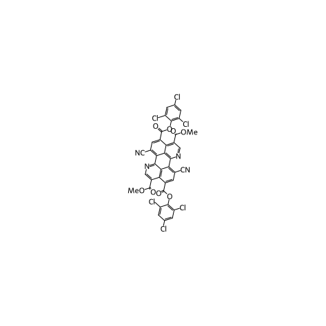 COC(=O)c1cnc2c3c(C#N)cc(C(=O)Oc4c(Cl)cc(Cl)cc4Cl)c4c(C(=O)OC)cnc(c5c(C#N)cc(C(=O)Oc6c(Cl)cc(Cl)cc6Cl)c1c25)c43